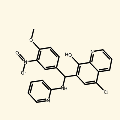 COc1ccc(C(Nc2ccccn2)c2cc(Cl)c3cccnc3c2O)cc1[N+](=O)[O-]